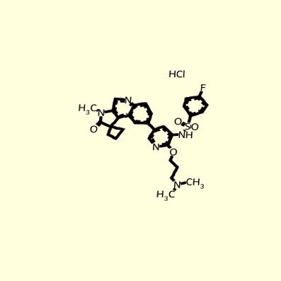 CN(C)CCCOc1ncc(-c2ccc3ncc4c(c3c2)C2(CCC2)C(=O)N4C)cc1NS(=O)(=O)c1ccc(F)cc1.Cl